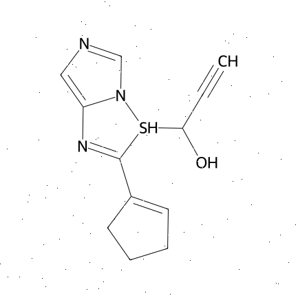 C#CC(O)[SH]1C(C2=CCCC2)=Nc2cncn21